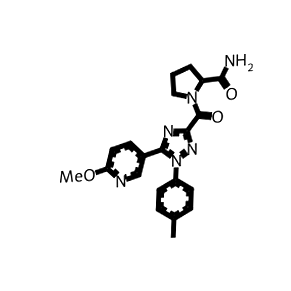 COc1ccc(-c2nc(C(=O)N3CCCC3C(N)=O)nn2-c2ccc(C)cc2)cn1